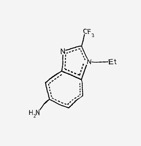 CCn1c(C(F)(F)F)nc2cc(N)ccc21